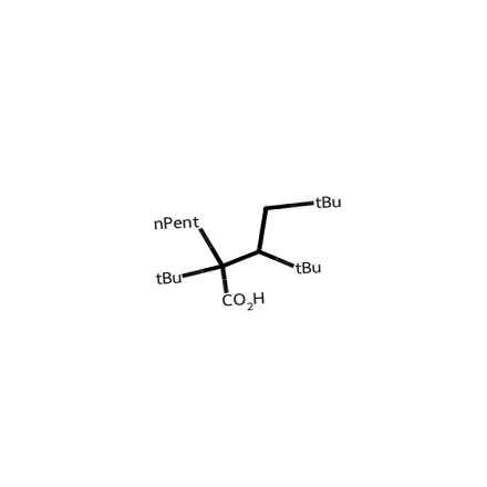 CCCCCC(C(=O)O)(C(CC(C)(C)C)C(C)(C)C)C(C)(C)C